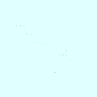 CNc1nc(C(F)(F)F)nc2c(C#CCCCCC(=O)O)cnn12